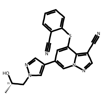 C[C@H](O)Cn1cc(-c2cc(Sc3ccccc3C#N)c3c(C#N)cnn3c2)cn1